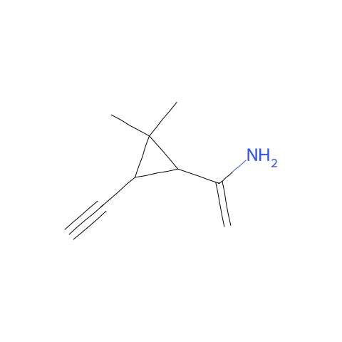 C#CC1C(C(=C)N)C1(C)C